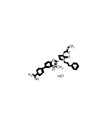 COC(=O)C[C@@H]1C[C@@H](COc2ccc(-c3ccc(C(=N)N)cc3)cc2S(C)(=O)=O)N(CCCc2ccccc2)C1=O.Cl